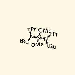 CCCN(C(C)(C)C)[Si](OC)(OC)N(CCC)C(C)(C)C